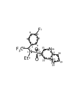 CCN(C(c1ccc(F)cc1)C(F)(F)F)S(=O)(=O)c1cnc2ccnn2c1